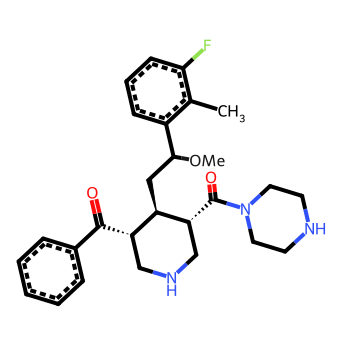 COC(C[C@@H]1[C@@H](C(=O)c2ccccc2)CNC[C@H]1C(=O)N1CCNCC1)c1cccc(F)c1C